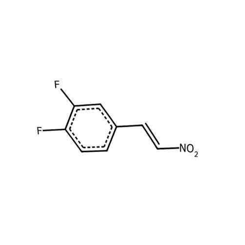 O=[N+]([O-])C=Cc1ccc(F)c(F)c1